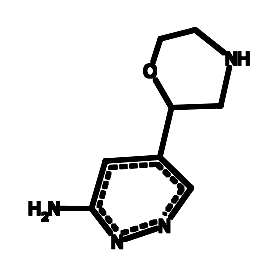 Nc1cc(C2CNCCO2)cnn1